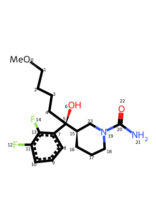 COCCCC[C@@](O)(c1cccc(F)c1F)[C@@H]1CCCN(C(N)=O)C1